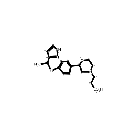 CC(Oc1ccc(C2CN(CCC(=O)O)CCO2)cc1)c1cc[nH]n1